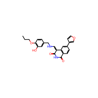 CCCOc1ccc(CNC=C2C(=O)NC(=O)c3ccc(-c4ccoc4)cc32)cc1O